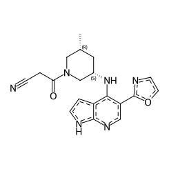 C[C@@H]1C[C@H](Nc2c(-c3ncco3)cnc3[nH]ccc23)CN(C(=O)CC#N)C1